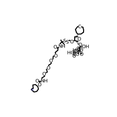 CC(C)(CNC(=O)CCOCCOCCOCCOCCNC(=O)OC1CC/C=C/CCC1)SSCOC1C[C@H](C2CCCCCCCC2)O[C@@H]1COP(=O)(O)OP(=O)(O)OP(=O)(O)O